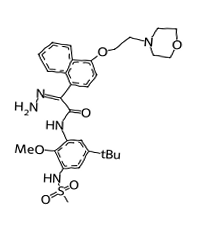 COc1c(NC(=O)C(=NN)c2ccc(OCCN3CCOCC3)c3ccccc23)cc(C(C)(C)C)cc1NS(C)(=O)=O